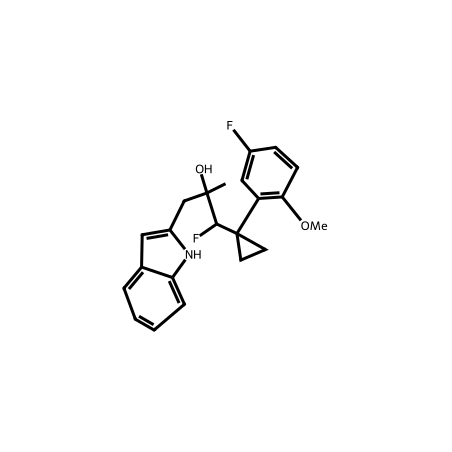 COc1ccc(F)cc1C1(C(F)C(C)(O)Cc2cc3ccccc3[nH]2)CC1